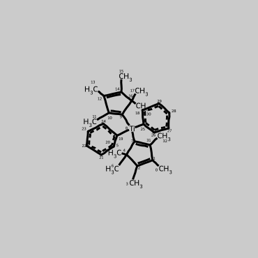 CC1=C(C)C(C)(C)[C]([Ti]([C]2=C(C)C(C)=C(C)C2(C)C)([c]2ccccc2)[c]2ccccc2)=C1C